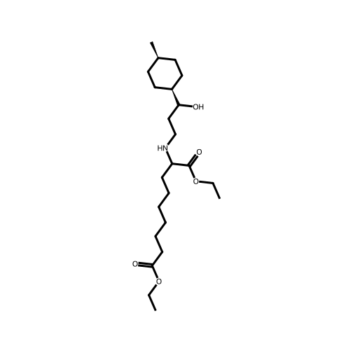 CCOC(=O)CCCCCCC(NCCC(O)[C@H]1CC[C@@H](C)CC1)C(=O)OCC